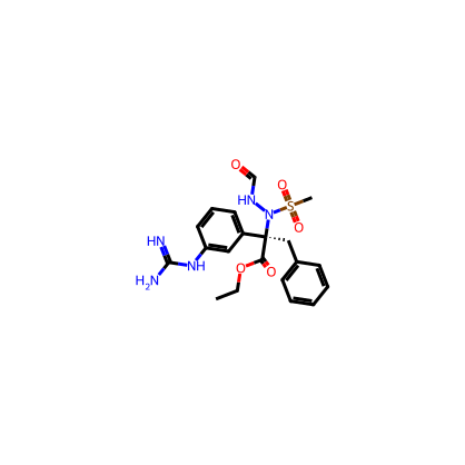 CCOC(=O)[C@@](Cc1ccccc1)(c1cccc(NC(=N)N)c1)N(NC=O)S(C)(=O)=O